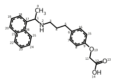 CC(NCCCc1ccc(OCC(=O)O)cc1)c1cccc2ccccc12